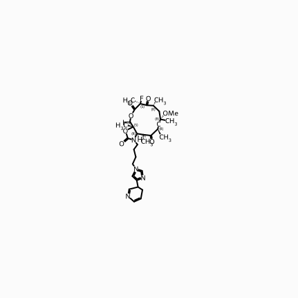 CO[C@]1(C)C[C@@H](C)C(=O)[C@H](C)[C@H]2N(CCCCn3cnc(C4C=NC=CC4)c3)C(=O)O[C@]2(C)[C@@H](I)OC(=O)[C@@](C)(F)C(=O)[C@H](C)C1